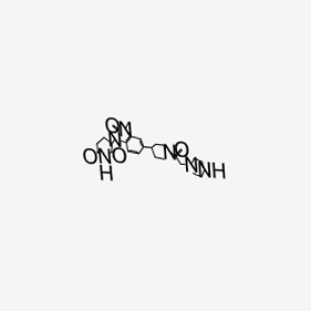 Cn1c(=O)n(C2CCC(=O)NC2=O)c2ccc(C3CCN(C(=O)CN4CCNCC4)CC3)cc21